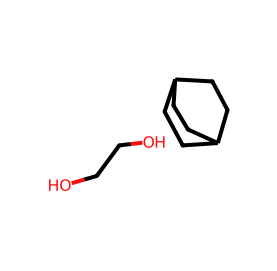 C1CC2CCC1CC2.OCCO